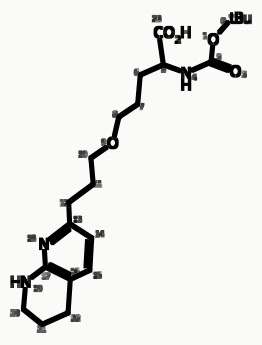 CC(C)(C)OC(=O)NC(CCCOCCCc1ccc2c(n1)NCCC2)C(=O)O